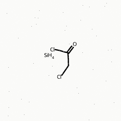 O=C(Cl)CCl.[SiH4]